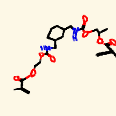 C=C(C)C(=O)OCCOC(=O)NCC1CCCC(CNC(=O)OCC(C)OC(=O)C(=C)C)C1